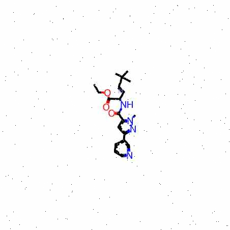 CCOC(=O)C(/C=C/C(C)(C)C)NC(=O)c1cc(-c2cccnc2)nn1C